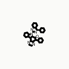 c1ccc(-c2nc(-n3c4ccccc4c4c5nccnc5c5c6ccccc6oc5c43)nc3ccccc23)cc1